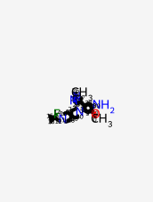 COc1cc(N2CCC3(CCN(CC4(F)CC4)CC3)CC2)c(-c2cnn(C)c2)cc1N